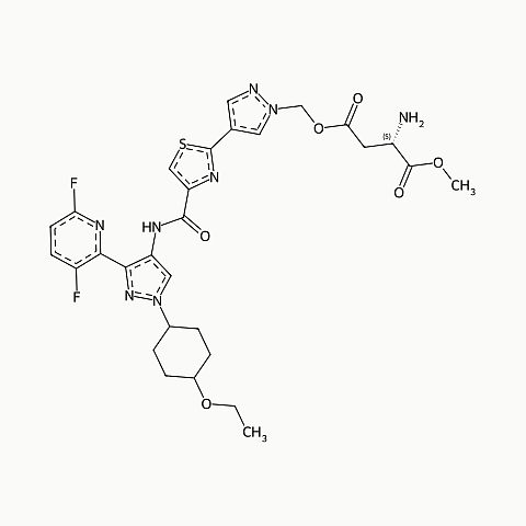 CCOC1CCC(n2cc(NC(=O)c3csc(-c4cnn(COC(=O)C[C@H](N)C(=O)OC)c4)n3)c(-c3nc(F)ccc3F)n2)CC1